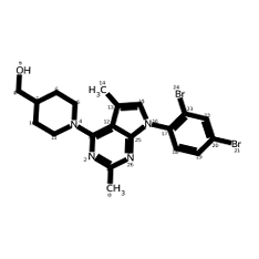 Cc1nc(N2CCC(CO)CC2)c2c(C)cn(-c3ccc(Br)cc3Br)c2n1